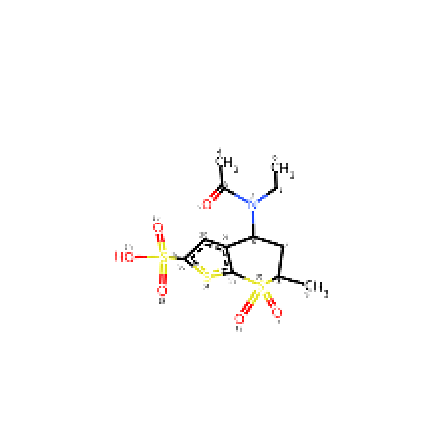 CCN(C(C)=O)C1CC(C)S(=O)(=O)c2sc(S(=O)(=O)O)cc21